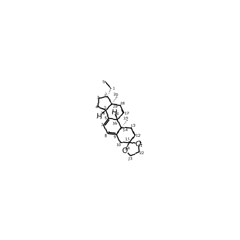 CC[C@H]1CC[C@H]2C3=CC=C4CC5(CC[C@]4(C)[C@H]3CC[C@]12C)OCCO5